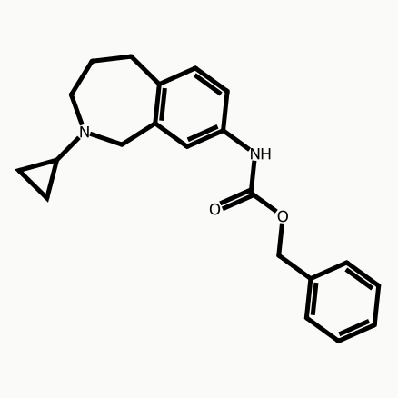 O=C(Nc1ccc2c(c1)CN(C1CC1)CCC2)OCc1ccccc1